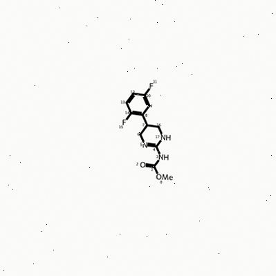 COC(=O)NC1=NCC(c2cc(F)ccc2F)CN1